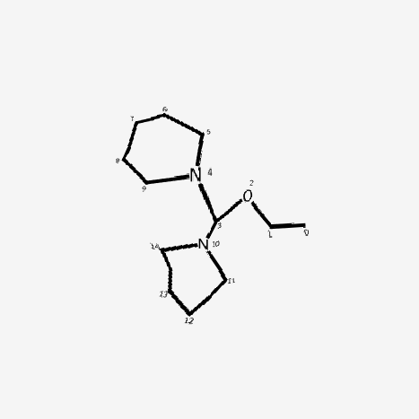 CCOC(N1CCCCC1)N1CCCC1